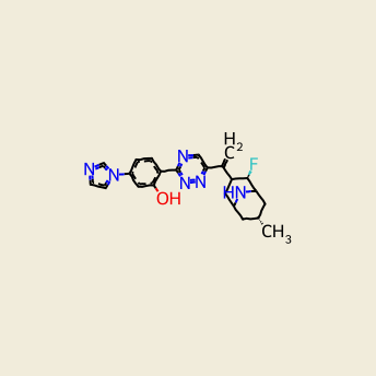 C=C(c1cnc(-c2ccc(-n3ccnc3)cc2O)nn1)C1CC2C[C@@H](C)CC(N2)[C@@H]1F